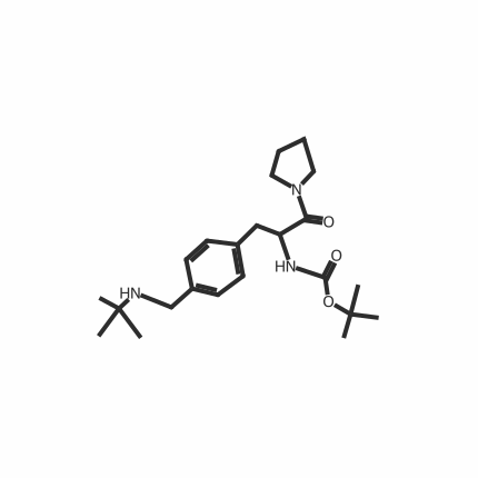 CC(C)(C)NCc1ccc(CC(NC(=O)OC(C)(C)C)C(=O)N2CCCC2)cc1